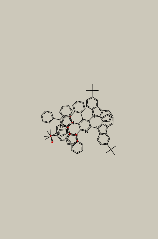 CC(C)(C)c1ccc2c(c1)c1ccccc1n2-c1nc(-n2c3ccccc3c3cc(C(C)(C)C)ccc32)c(-n2c3ccccc3c3cc(C(C)(C)C)ccc32)c(-c2ccccc2-c2cc(-c3ccccc3)nc(-c3ccccc3)n2)c1-n1c2ccccc2c2cc(C(C)(C)C)ccc21